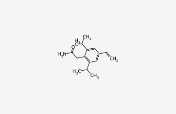 C=Cc1cc(C(C)C)c(CC(N)=O)c(C(C)C)c1